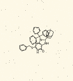 O=c1[nH]c(SCc2ccccc2)nc2c1NC(C13CC4CC(CC1C4)C3)N2C(c1ccccc1)(c1ccccc1)c1ccccc1